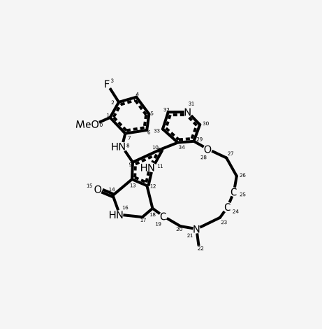 COc1c(F)cccc1Nc1c2[nH]c3c1C(=O)NCC3CCN(C)CCCCCOc1cnccc1-2